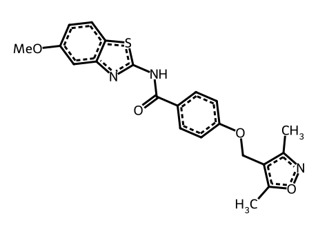 COc1ccc2sc(NC(=O)c3ccc(OCc4c(C)noc4C)cc3)nc2c1